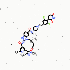 Cc1cc2cc(n1)-c1c(C)nn(C)c1OCCC[C@@H](C)CN1/C(=N/C2=O)Nc2ccc(C(=O)N(C)C3CCN(CCc4cc(F)c([C@H]5CCC(=O)NC5=O)c(F)c4)CC3)cc21